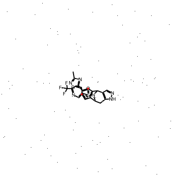 Cc1noc(-c2ccc3c(c2)C2c4cn[nH]c4CC3N2S(=O)(=O)c2ccc(C(F)(F)F)nc2)n1